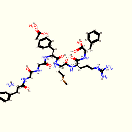 CC(=O)O.CSCC[C@H](NC(=O)[C@H](Cc1ccccc1)NC(=O)CNC(=O)CNC(=O)[C@@H](N)Cc1ccc(O)cc1)C(=O)N[C@@H](CCCN=C(N)N)C(=O)N[C@@H](Cc1ccccc1)C(=O)O.O